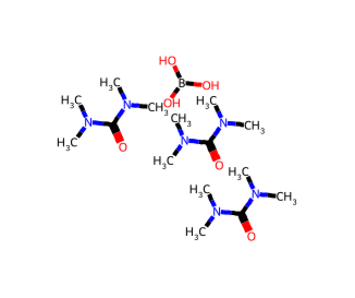 CN(C)C(=O)N(C)C.CN(C)C(=O)N(C)C.CN(C)C(=O)N(C)C.OB(O)O